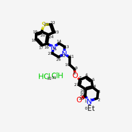 CCN1CCc2ccc(OCCCN3CCN(c4cccc5sccc45)CC3)cc2C1=O.Cl.Cl